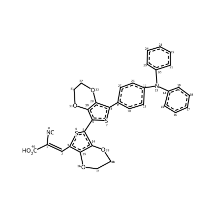 [C-]#[N+]/C(=C\c1sc(-c2sc(-c3ccc(N(c4ccccc4)c4ccccc4)cc3)c3c2OCCO3)c2c1OCCO2)C(=O)O